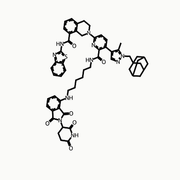 Cc1c(-c2ccc(N3CCc4cccc(C(=O)Nc5nc6ccccc6s5)c4C3)nc2C(=O)NCCCCCCNc2cccc3c2C(=O)N(C2CCC(=O)NC2=O)C3=O)cnn1CC12CC3CC(CC(C3)C1)C2